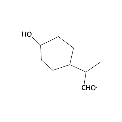 CC([C]=O)C1CCC(O)CC1